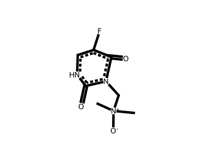 C[N+](C)([O-])Cn1c(=O)[nH]cc(F)c1=O